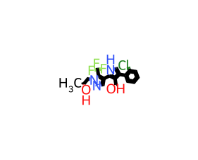 C[C@H](O)Cn1ncc(-c2[nH]cc(-c3ccccc3Cl)c2CO)c1C(F)(F)F